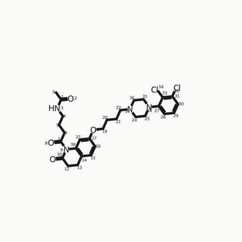 CC(=O)NCCCC(=O)N1C(=O)CCc2ccc(OCCCCN3CCN(c4cccc(Cl)c4Cl)CC3)cc21